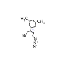 Cc1cc(C)cc(/C(=C/CN=[N+]=[N-])CBr)c1